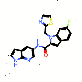 O=C(Nc1cnc2[nH]ccc2c1)c1cc2ccc(F)cc2n1Cc1nccs1